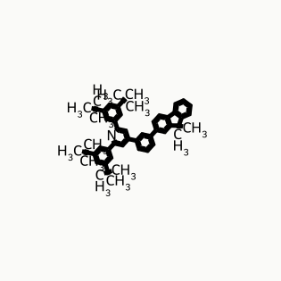 CC(C)(C)c1cc(-c2cc(-c3cccc(-c4ccc5c(c4)C(C)(C)c4ccccc4-5)c3)cc(-c3cc(C(C)(C)C)cc(C(C)(C)C)c3)n2)cc(C(C)(C)C)c1